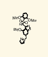 COc1cccc(OC)c1S(=O)(=O)Nc1nsc2cc(Cn3cccn3)cc(OC)c12